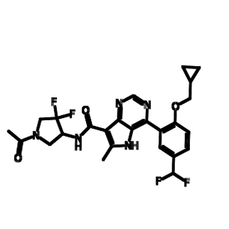 CC(=O)N1CC(NC(=O)c2c(C)[nH]c3c(-c4cc(C(F)F)ccc4OCC4CC4)ncnc23)C(F)(F)C1